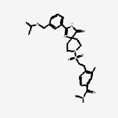 Cc1cc(C(=O)N(C)C)ccc1CCS(=O)(=O)N1CCC2(CC1)N=C(c1cccc(COC(C)C)c1)NC2=O